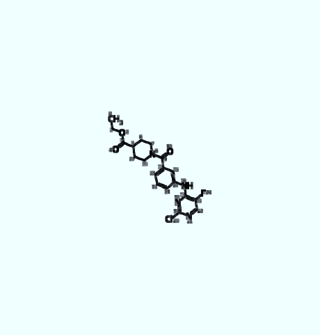 CCOC(=O)C1CCN(C(=O)c2cccc(Nc3nc(Cl)ncc3F)c2)CC1